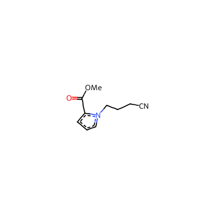 COC(=O)c1cccn1CCCC#N